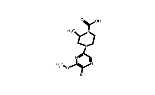 COc1nc(N2CCN(C(=O)O)C(C)C2)cnc1Br